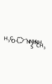 CNC(=S)N/N=C/c1ccc(OC)cc1